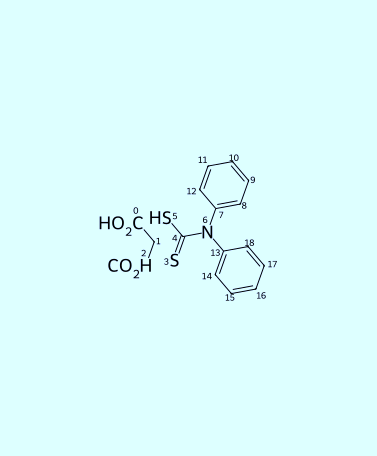 O=C(O)CC(=O)O.S=C(S)N(c1ccccc1)c1ccccc1